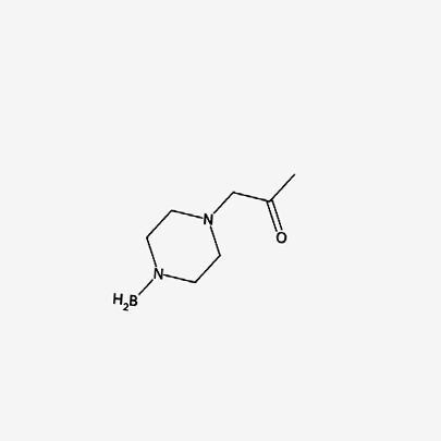 BN1CCN(CC(C)=O)CC1